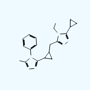 CCn1c(CC2CC2c2nnc(C)n2-c2ccccc2)nnc1C1CC1